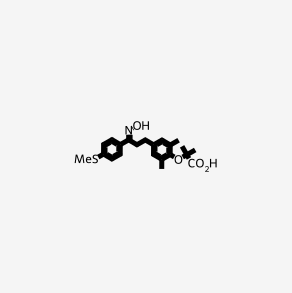 CSc1ccc(C(CCc2cc(C)c(OC(C)(C)C(=O)O)c(C)c2)=NO)cc1